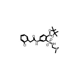 CN(C)CNS(=O)(=O)c1cc(NC(=O)Cc2ccccc2Cl)ccc1B1OC(C)(C)C(C)(C)O1